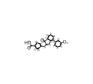 COc1cccc(-c2cccc3c2CC(Cc2ccc(C(=O)O)cc2)C3=O)c1